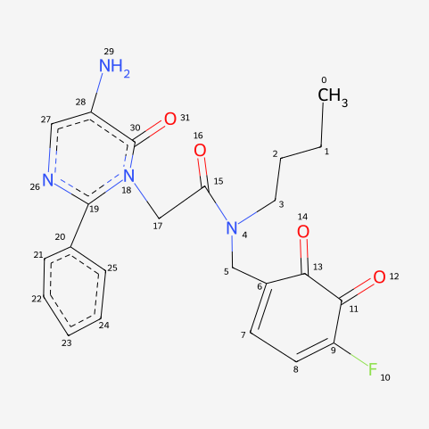 CCCCN(CC1=CC=C(F)C(=O)C1=O)C(=O)Cn1c(-c2ccccc2)ncc(N)c1=O